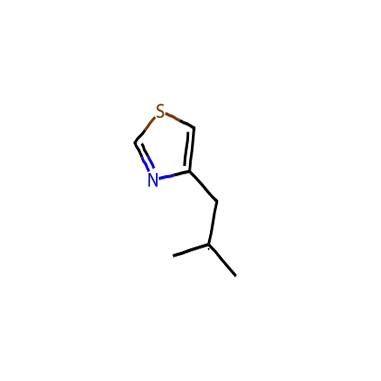 C[C](C)Cc1cscn1